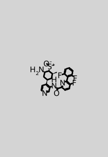 C[C@H]1C[C@@H](c2ccncc2NC(=O)c2ccc(F)c(-c3c(F)cccc3F)n2)C[C@@H](N)[C@@H]1[S@+](C)[O-]